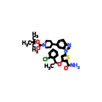 C[C@@H](Oc1cc(-n2cnc3ccc(C4CCN(C(=O)OC(C)(C)C)CC4)cc32)sc1C(N)=O)c1ccccc1Cl